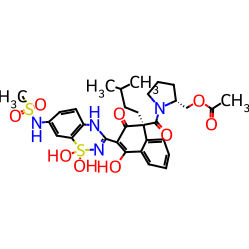 CC(=O)OC[C@H]1CCCN1C(=O)[C@]1(CCC(C)C)C(=O)C(C2=NS(O)(O)c3cc(NS(C)(=O)=O)ccc3N2)=C(O)c2ccccc21